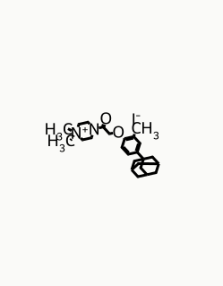 Cc1cc(C23CC4CC(CC(C4)C2)C3)ccc1OCC(=O)N1CC[N+](C)(C)CC1.[I-]